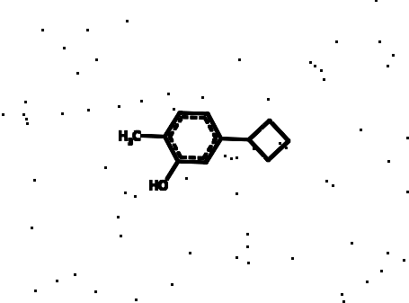 Cc1ccc(C2CCC2)cc1O